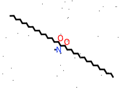 CCCCCCCCCCCCCCCC(=O)C(C(=O)CCCCCCCCCCCCCCC)N(C)C